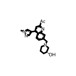 CC(=O)c1cc(-c2cnn(C)c2)c2ccc(CN3CCC[C@@H](O)C3)cc2n1